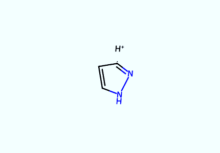 [H+].[c]1cc[nH]n1